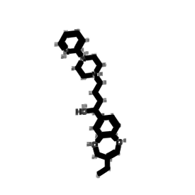 CCC1=COc2ccc(C(O)CCCN3CCN(c4ccccn4)CC3)cc2OC1